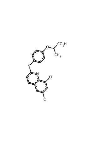 CC(Oc1ccc(Sc2ccc3cc(Cl)cc(Cl)c3n2)cc1)C(=O)O